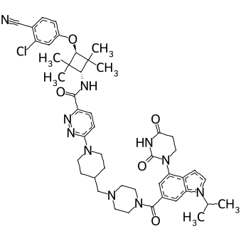 CC(C)n1ccc2c(N3CCC(=O)NC3=O)cc(C(=O)N3CCN(CC4CCN(c5ccc(C(=O)N[C@H]6C(C)(C)[C@H](Oc7ccc(C#N)c(Cl)c7)C6(C)C)nn5)CC4)CC3)cc21